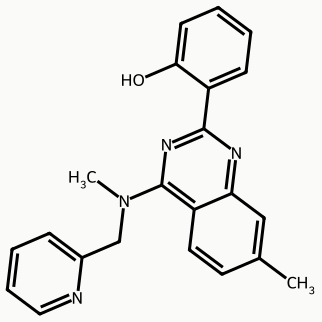 Cc1ccc2c(N(C)Cc3ccccn3)nc(-c3ccccc3O)nc2c1